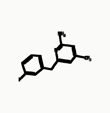 Nc1cc(C(F)(F)F)cc(Cc2cccc(F)c2)n1